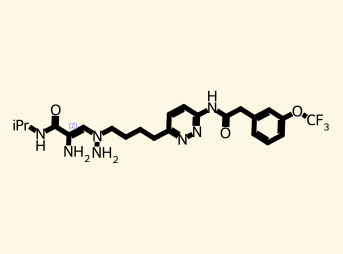 CC(C)NC(=O)/C(N)=C/N(N)CCCCc1ccc(NC(=O)Cc2cccc(OC(F)(F)F)c2)nn1